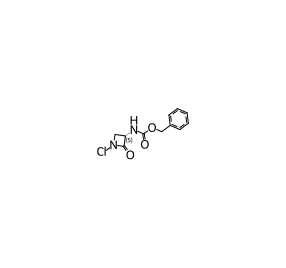 O=C(N[C@H]1CN(Cl)C1=O)OCc1ccccc1